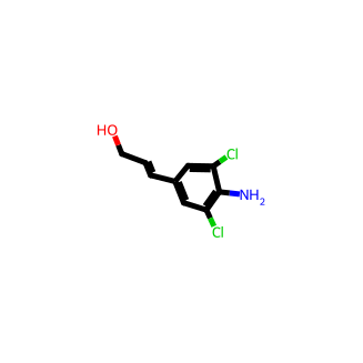 Nc1c(Cl)cc(C=CCO)cc1Cl